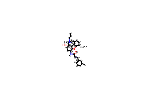 C=CCN1CC[C@]23c4c5ccc(OC)c4OC2C(N(C)C(=O)/C=C/c2cccc(C)c2)CC[C@@]3(O)[C@H]1C5